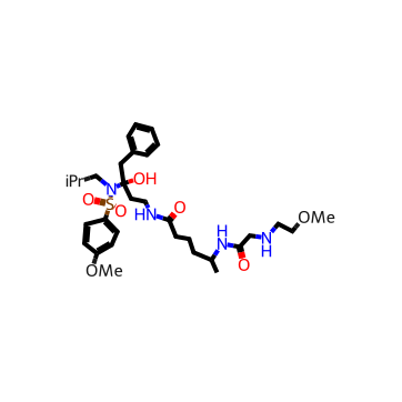 COCCNCC(=O)NC(C)CCCC(=O)NCCC(O)(Cc1ccccc1)N(CC(C)C)S(=O)(=O)c1ccc(OC)cc1